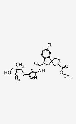 COC(=O)N1CCC2(C1)CN(C(=O)Nc1ncc(SCC(C)(C)CO)s1)c1ccc(Cl)cc12